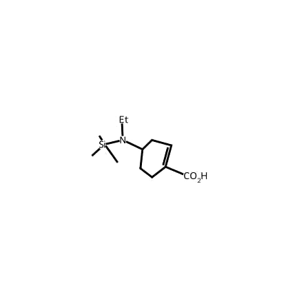 CCN(C1CC=C(C(=O)O)CC1)[Si](C)(C)C